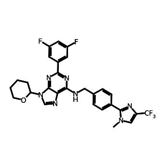 Cn1cc(C(F)(F)F)nc1-c1ccc(CNc2nc(-c3cc(F)cc(F)c3)nc3c2ncn3C2CCCCO2)cc1